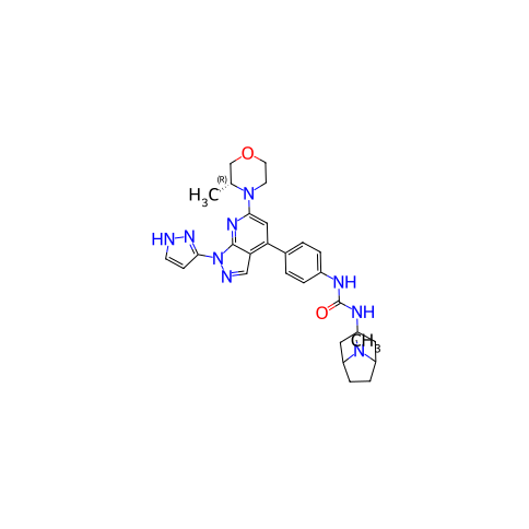 C[C@@H]1COCCN1c1cc(-c2ccc(NC(=O)NC3CC4CCC(C3)N4C)cc2)c2cnn(-c3cc[nH]n3)c2n1